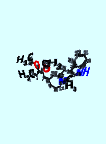 C=C/C(OCC)=C(\C=C1\CCCN(C)C(Cc2c[nH]c3ccccc23)C1)OC